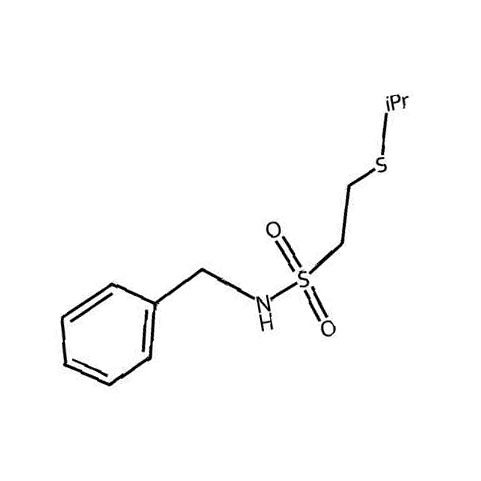 CC(C)SCCS(=O)(=O)NCc1ccccc1